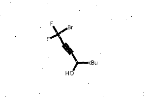 CC(C)(C)C(O)C#CC(F)(F)Br